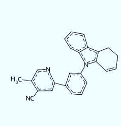 Cc1cnc(-c2cccc(-n3c4c(c5ccccc53)CCC=C4)c2)cc1C#N